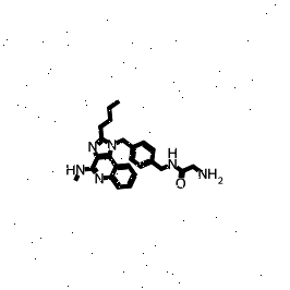 CCCCc1nc2c(NC)nc3ccccc3c2n1Cc1ccc(CNC(=O)CN)cc1